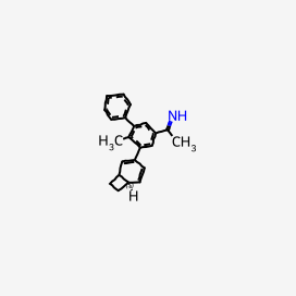 CC(=N)c1cc(C2=CC3CC[C@@H]3C=C2)c(C)c(-c2ccccc2)c1